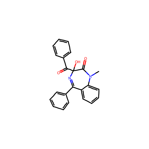 CN1C(=O)C(O)(C(=O)c2ccccc2)N=C(c2ccccc2)c2ccccc21